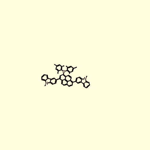 Cc1cc(C)c(B(c2c(C)cc(C)cc2C)c2cc(-c3ccc4c(c3)c3ccccc3n4C)c3ccc4ccc(-c5ccc6c(c5)c5ccccc5n6C)c5ccc2c3c45)c(C)c1